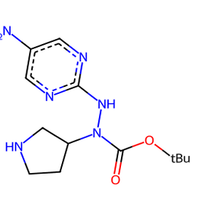 CC(C)(C)OC(=O)N(Nc1ncc(N)cn1)C1CCNC1